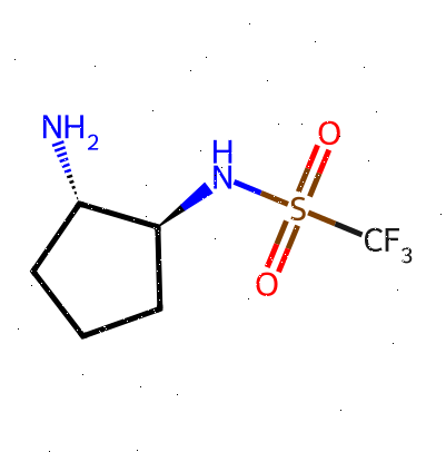 N[C@H]1CCC[C@@H]1NS(=O)(=O)C(F)(F)F